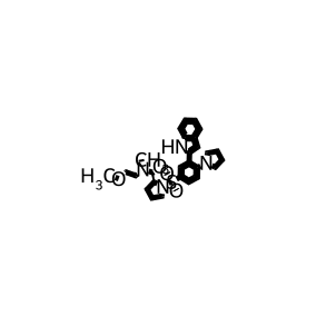 COCCN(C)C(=O)[C@@H]1CCCN1S(=O)(=O)c1ccc(N2CCCC2)c(-c2cc3ccccc3[nH]2)c1